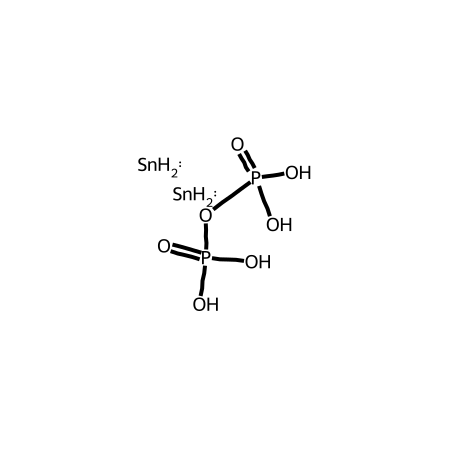 O=P(O)(O)OP(=O)(O)O.[SnH2].[SnH2]